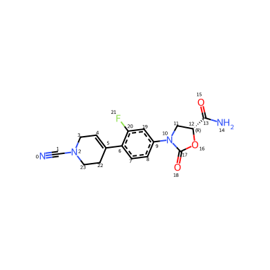 N#CN1CC=C(c2ccc(N3C[C@H](C(N)=O)OC3=O)cc2F)CC1